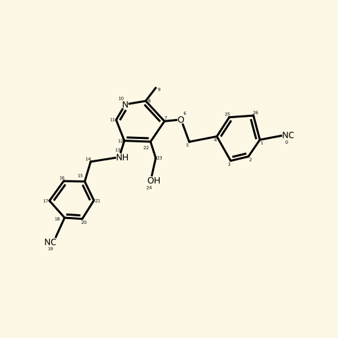 [C-]#[N+]c1ccc(COc2c(C)ncc(NCc3ccc(C#N)cc3)c2CO)cc1